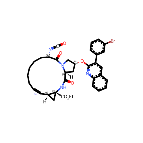 CCOC(=O)[C@@]12C[C@H]1/C=C\CCCCC[C@H](N=C=O)C(=O)N1C[C@H](Oc3nc4ccccc4cc3-c3cccc(Br)c3)C[C@H]1C(=O)N2